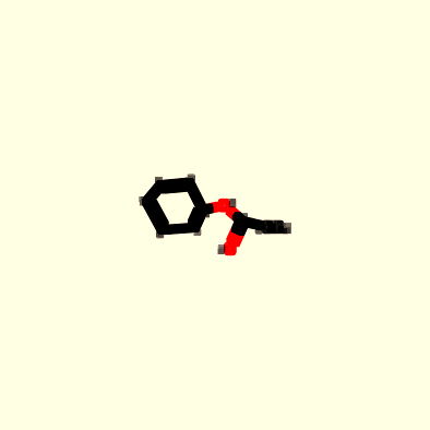 CC(C)[CH]OC(=O)Oc1ccccc1